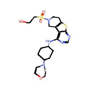 O=S(=O)(CCO)N1CCc2sc3ncnc(N[C@H]4CC[C@H](N5CCOCC5)CC4)c3c2C1